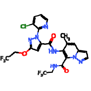 Cc1cc2ccnn2c(C(=O)NCC(F)(F)F)c1NC(=O)c1cc(OCC(F)(F)F)nn1-c1ncccc1Cl